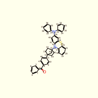 O=C(c1ccccc1)c1ccc(C23CCC(N4c5ccccc5Sc5cc(N(c6ccccc6)c6ccccc6)ccc54)(CC2)C3)cc1